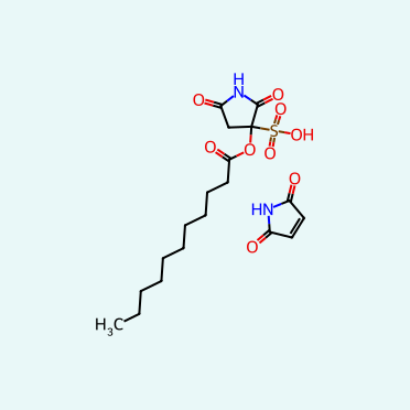 CCCCCCCCCCC(=O)OC1(S(=O)(=O)O)CC(=O)NC1=O.O=C1C=CC(=O)N1